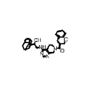 O=C(C1COc2ccccc2C1)N1CCc2c(ncnc2NCC(O)C23CC4CC(CC(C4)C2)C3)C1